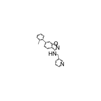 Cc1ccccc1-c1ccc2c(NCc3cccnc3)noc2c1